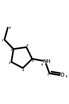 CCC1CCC(N[C]=O)C1